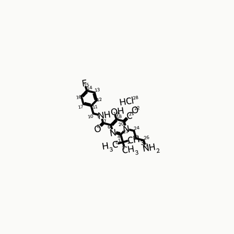 CC(C)(C)C1=NC(C(=O)NCc2ccc(F)cc2)=C(O)C(=C=O)N1CCCN.Cl